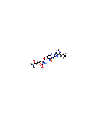 COC(=O)NC(CC/C=C/C(=O)N(C)C)C(=O)Nc1cccn(Cc2nc3c(CCC(C)(C)C)ncnc3[nH]2)c1=O